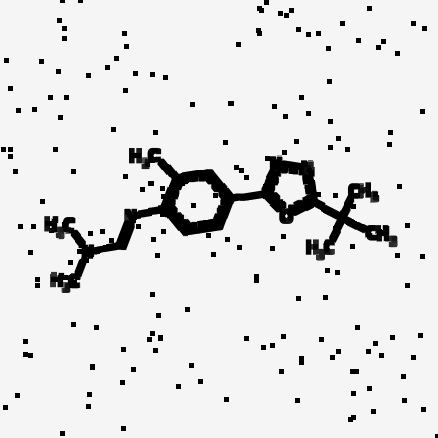 Cc1cc(-c2nnc(C(C)(C)C)o2)ccc1/N=C/N(C)C